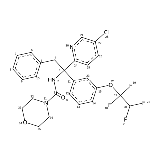 O=C(NC(Cc1ccccc1)(c1cccc(OC(F)(F)C(F)F)c1)c1ccc(Cl)cn1)N1CCOCC1